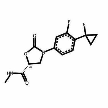 CNC(=O)[C@H]1CN(c2ccc(C3(F)CC3)c(F)c2)C(=O)O1